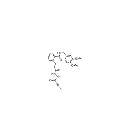 CC#CC(=O)NNC(=O)CCc1ccccc1C(=O)N[C@H](C)c1ccc(OC)c(OC)c1